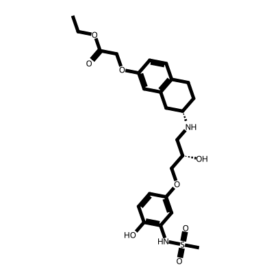 CCOC(=O)COc1ccc2c(c1)C[C@@H](NC[C@H](O)COc1ccc(O)c(NS(C)(=O)=O)c1)CC2